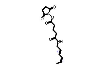 C/C=C\C=C\CNC(=O)CCCC(=O)ON1C(=O)CCC1=O